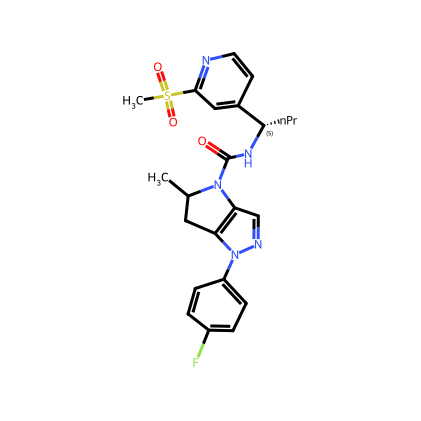 CCC[C@H](NC(=O)N1c2cnn(-c3ccc(F)cc3)c2CC1C)c1ccnc(S(C)(=O)=O)c1